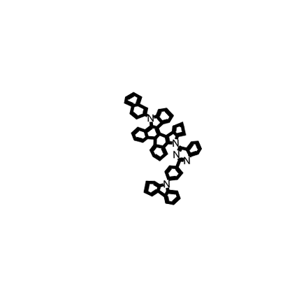 C1=CC2=c3c(c4ccccc4n3-c3ccc4ccccc4c3)=C3c4c(n(-c5nc(-c6ccc(-n7c8ccccc8c8ccccc87)cc6)nc6ccccc56)c5ccccc45)-c4ccccc4C3C2C=C1